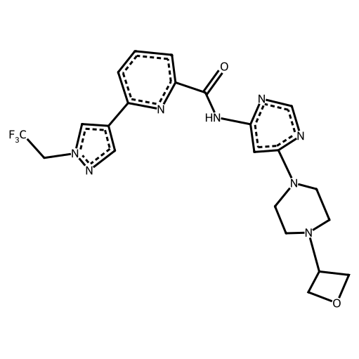 O=C(Nc1cc(N2CCN(C3COC3)CC2)ncn1)c1cccc(-c2cnn(CC(F)(F)F)c2)n1